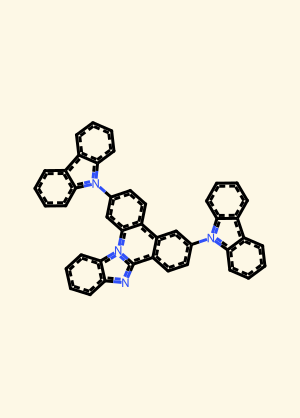 c1ccc2c(c1)nc1c3ccc(-n4c5ccccc5c5ccccc54)cc3c3ccc(-n4c5ccccc5c5ccccc54)cc3n21